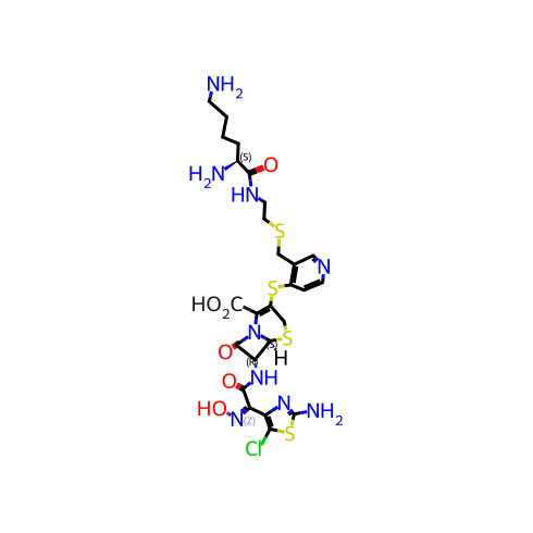 NCCCC[C@H](N)C(=O)NCCSCc1cnccc1SC1=C(C(=O)O)N2C(=O)[C@@H](NC(=O)/C(=N\O)c3nc(N)sc3Cl)[C@@H]2SC1